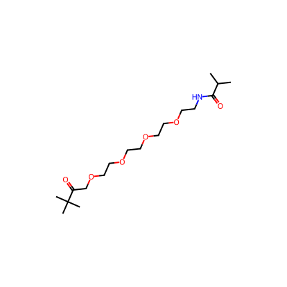 CC(C)C(=O)NCCOCCOCCOCCOCC(=O)C(C)(C)C